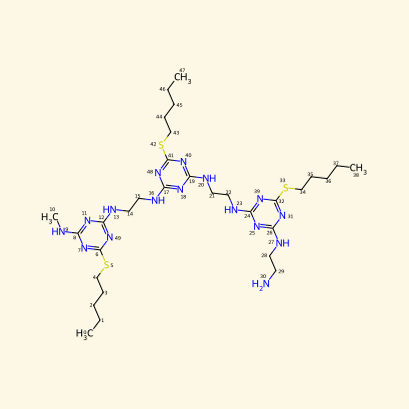 CCCCCSc1nc(NC)nc(NCCNc2nc(NCCNc3nc(NCCN)nc(SCCCCC)n3)nc(SCCCCC)n2)n1